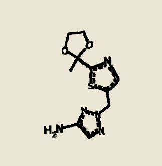 CC1(c2ncc(Cn3ncc(N)n3)s2)OCCO1